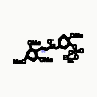 CCOP(=O)(OCC)Oc1cc(C[S+]([O-])/C=C/c2c(OC)cc(OC)cc2OC)ccc1OC